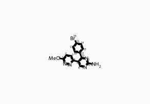 COc1ccc(-c2cnc(N)nc2-c2ccc(Br)cc2)nn1